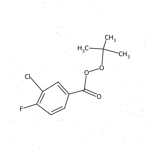 CC(C)(C)OOC(=O)c1ccc(F)c(Cl)c1